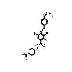 COc1ccc(COc2c(F)cc(C(=O)NC[C@H]3CC[C@H](C(=O)O)CC3)c(F)c2F)cc1